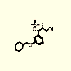 C[C@H](CO)[C@@H](O[Si](C)(C)C)c1cccc(OCC2CCCCC2)c1